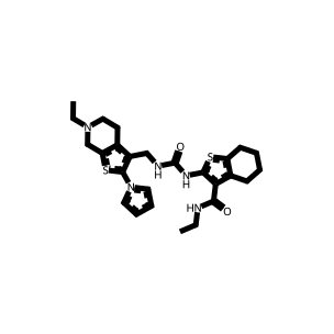 CCNC(=O)c1c(NC(=O)NCc2c(-n3cccc3)sc3c2CCN(CC)C3)sc2c1CCCC2